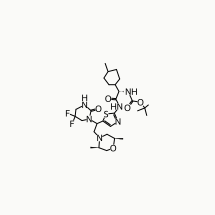 CC1CCC([C@H](NC(=O)OC(C)(C)C)C(=O)Nc2ncc(C(CN3C[C@@H](C)OC[C@H]3C)N3CC(F)(F)CNC3=O)s2)CC1